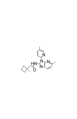 Cc1ccc(-n2c(NC(=O)CC3(C)CCC3)nc3ccc(C)nc32)nc1